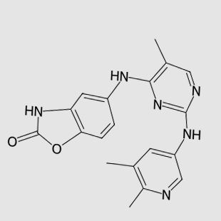 Cc1cc(Nc2ncc(C)c(Nc3ccc4oc(=O)[nH]c4c3)n2)cnc1C